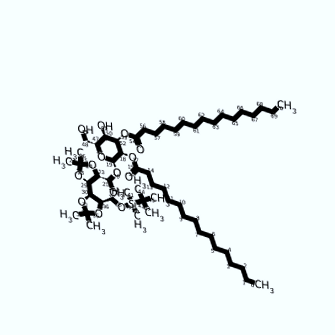 CCCCCCCCCCCCCCCC(=O)O[C@@H]1[C@H](OC(O)[C@H]2OC(C)(C)O[C@H]2[C@@H]2OC(C)(C)O[C@@H]2CO[Si](C)(C)C(C)(C)C)O[C@H](CO)[C@@H](O)[C@@H]1OC(=O)CCCCCCCCCCCCCCC